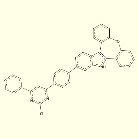 Clc1nc(-c2ccccc2)cc(-c2ccc(-c3ccc4c5c([nH]c4c3)-c3ccccc3Oc3ccccc3-5)cc2)n1